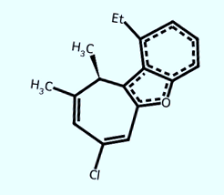 CCc1cccc2oc3c(c12)[C@H](C)C(C)=CC(Cl)=C3